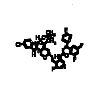 CC(C)(C)OC(=O)N1C[C@@H](CCc2c(F)cncc2NC(=O)C[C@@H](c2ccc(F)cc2)c2cc(F)cc(F)c2)OC[C@H]1c1nc2ccc(Cl)cc2[nH]1